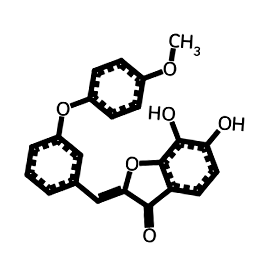 COc1ccc(Oc2cccc(C=C3Oc4c(ccc(O)c4O)C3=O)c2)cc1